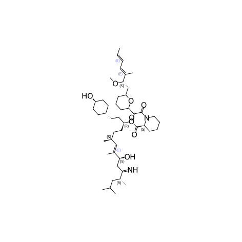 C/C=C/C=C(\C)[C@H](CC1CCCC(C(=O)C(=O)N2CCCC[C@H]2C(=O)O[C@@H](CC[C@H](C)/C=C(\C)[C@@H](O)CC(=N)[C@H](C)CC(C)C)CC[C@H]2CC[C@H](O)CC2)O1)OC